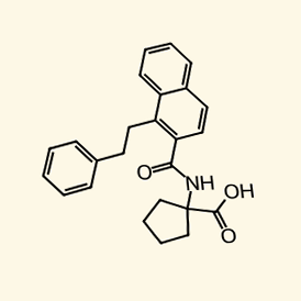 O=C(NC1(C(=O)O)CCCC1)c1ccc2ccccc2c1CCc1ccccc1